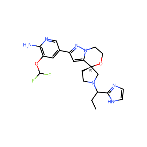 CCC(c1ncc[nH]1)N1CC[C@]2(C1)OCCn1nc(-c3cnc(N)c(OC(F)F)c3)cc12